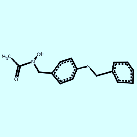 CC(=O)N(O)Cc1ccc(SCc2ccccc2)cc1